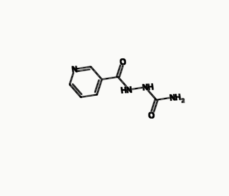 NC(=O)NNC(=O)c1cccnc1